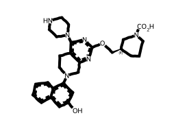 O=C(O)N1CCC[C@@H](COc2nc3c(c(N4CCNCC4)n2)CCN(c2cc(O)cc4ccccc24)C3)C1